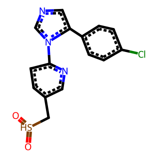 O=[SH](=O)Cc1ccc(-n2cncc2-c2ccc(Cl)cc2)nc1